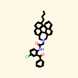 CCCCc1ccc2ccc3c(c2c1)-c1c(ccc2ccccc12)CN(CC(=O)Nc1ccc(Cl)cc1C(=O)c1ccccc1)C3